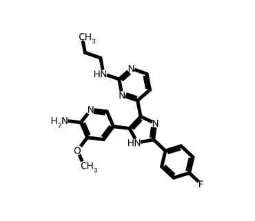 CCCNc1nccc(-c2nc(-c3ccc(F)cc3)[nH]c2-c2cnc(N)c(OC)c2)n1